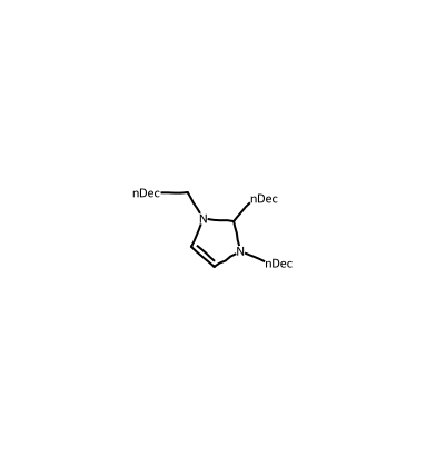 CCCCCCCCCCCN1C=CN(CCCCCCCCCC)C1CCCCCCCCCC